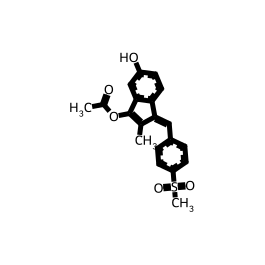 CC(=O)OC1=C(C)C(=Cc2ccc(S(C)(=O)=O)cc2)c2ccc(O)cc21